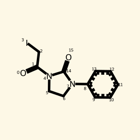 O=C(CI)N1CCN(c2ccccc2)C1=O